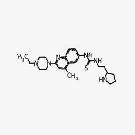 CCN1CCN(c2cc(C)c3cc(NC(=S)NCCC4CCCN4)ccc3n2)CC1